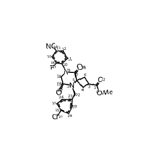 COC(=O)C1CC2(C1)C(=O)N(c1ccc(C#N)cc1F)CC(=O)N2Cc1ccc(Cl)cc1